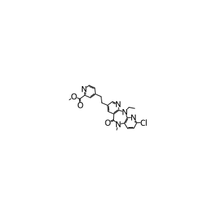 CCN1c2ncc(CCc3ccnc(C(=O)OC)c3)cc2C(=O)N(C)c2ccc(Cl)nc21